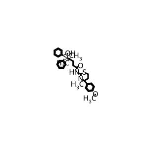 COc1ccc(C2(C)CCSC(NC(=O)CCC(C)(C)[Si](O)(c3ccccc3)c3ccccc3)=N2)cc1